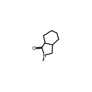 CN1CC2CCCCC2C1=O